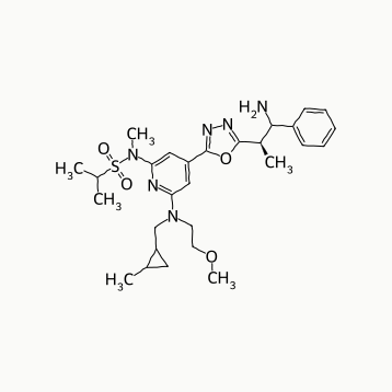 COCCN(CC1CC1C)c1cc(-c2nnc([C@H](C)C(N)c3ccccc3)o2)cc(N(C)S(=O)(=O)C(C)C)n1